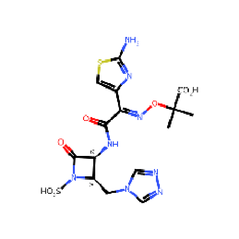 CC(C)(ON=C(C(=O)N[C@@H]1C(=O)N(S(=O)(=O)O)[C@@H]1Cn1cnnc1)c1csc(N)n1)C(=O)O